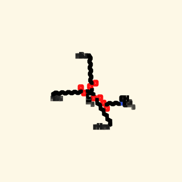 CCCC/C=C\CCCCCCCC(=O)OCC(C)(COC(=O)CCCCCCC/C=C\CCCC)COC(=O)CC(CCCCC/C=C\CCCCCC)OC(=O)CCCCN(C)C